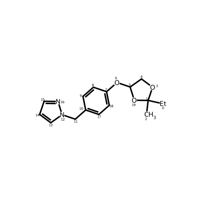 CCC1(C)OCC(Oc2ccc(Cn3cccn3)cc2)O1